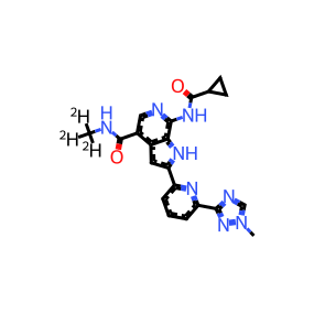 [2H]C([2H])([2H])NC(=O)c1cnc(NC(=O)C2CC2)c2[nH]c(-c3cccc(-c4ncn(C)n4)n3)cc12